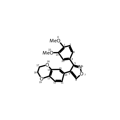 COc1ccc(-c2nocc2-c2ccc3c(c2)OCCO3)cc1OC